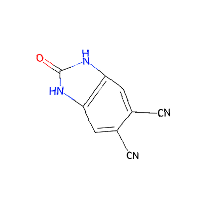 N#Cc1cc2[nH]c(=O)[nH]c2cc1C#N